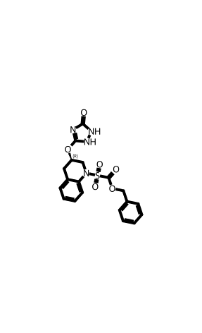 O=C(OCc1ccccc1)S(=O)(=O)N1C[C@H](Oc2nc(=O)[nH][nH]2)Cc2ccccc21